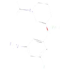 CC(=O)N1CCC[C@@H](Oc2cc(N)cc(F)c2)C1.Cl